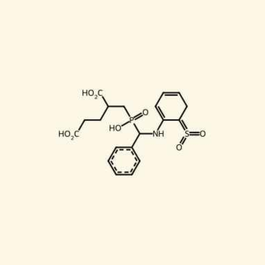 O=C(O)CCC(CP(=O)(O)C(NC1=CC=CCC1=S(=O)=O)c1ccccc1)C(=O)O